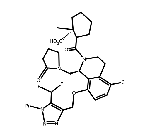 CC(C)n1nnc(COc2ccc(Cl)c3c2[C@@H](CN2CCCC2=O)N(C(=O)C2CCCC[C@@]2(C)C(=O)O)CC3)c1C(F)F